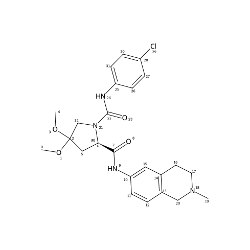 COC1(OC)C[C@H](C(=O)Nc2ccc3c(c2)CCN(C)C3)N(C(=O)Nc2ccc(Cl)cc2)C1